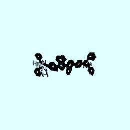 c1ccc(-c2cc(-c3ccc(-c4ccc(-c5ccc(-c6ccc(C7=NC(c8ccccc8)NC(c8ccccc8)N7)cc6)c6ccccc56)c5ccccc45)cc3)nc(-c3ccccc3)n2)cc1